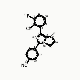 N#Cc1ccc(-c2nc(-c3cccc(F)c3Cl)c3sccn23)cc1